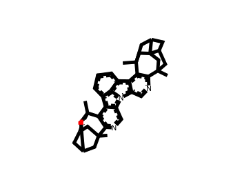 CC12CC3CC(C1)CC(C)(C3)c1c2ncc2c1c1cccc3c4c5c(ncc4n2c13)C1(C)CC2CC3CC5(C)CC23C1